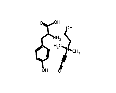 C[N+](C)(C#P=O)CCO.NC(Cc1ccc(O)cc1)C(=O)O